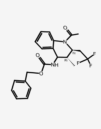 CC(=O)N1c2ccccc2C(NC(=O)OCc2ccccc2)[C@@H](C)[C@@H]1CC(F)(F)F